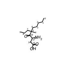 CCCCCC(C)(CCC)C(=O)C(N)CC(=O)O